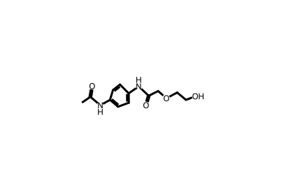 CC(=O)Nc1ccc(NC(=O)COCCO)cc1